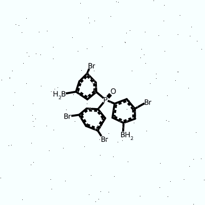 Bc1cc(Br)cc(P(=O)(c2cc(B)cc(Br)c2)c2cc(Br)cc(Br)c2)c1